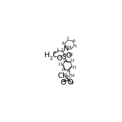 C=CC(N1CCCCC1)S(=O)(=O)c1ccc(CS(=O)(=O)Cl)cc1